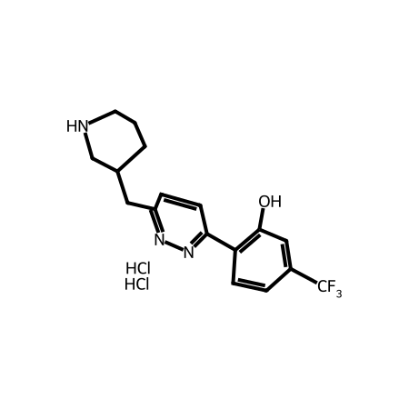 Cl.Cl.Oc1cc(C(F)(F)F)ccc1-c1ccc(CC2CCCNC2)nn1